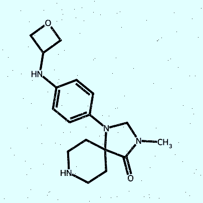 CN1CN(c2ccc(NC3COC3)cc2)C2(CCNCC2)C1=O